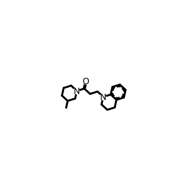 CC1CCCN(C(=O)CCN2CCCc3ccccc32)C1